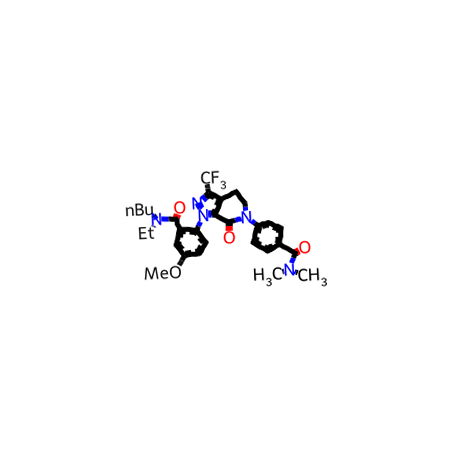 CCCCN(CC)C(=O)c1cc(OC)ccc1-n1nc(C(F)(F)F)c2c1C(=O)N(c1ccc(C(=O)N(C)C)cc1)CC2